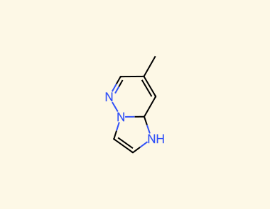 CC1=CC2NC=CN2N=C1